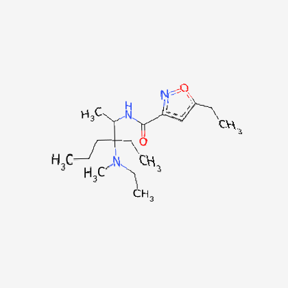 CCCC(CC)(C(C)NC(=O)c1cc(CC)on1)N(C)CC